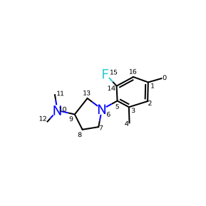 Cc1cc(C)c(N2CCC(N(C)C)C2)c(F)c1